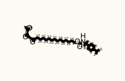 C=C(C)c1ccc(C(C)(C)NC(=O)OCCCCCCCCCCCCCCC2OC2C2OC2[C@H]2CO2)cc1